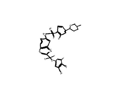 CC1CCC(c2ccc(C(F)(F)Oc3ccc4nc(C(F)(F)Oc5cc(F)c(F)c(F)c5)sc4c3)c(F)c2)OC1